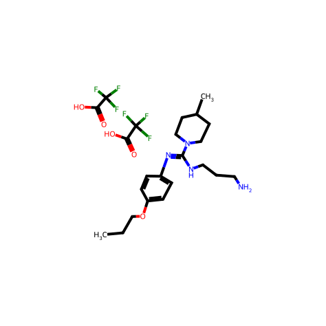 CCCOc1ccc(/N=C(\NCCCN)N2CCC(C)CC2)cc1.O=C(O)C(F)(F)F.O=C(O)C(F)(F)F